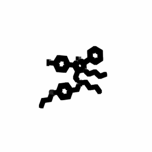 CCCCN(Cc1ccc(OCCC)cc1)Cc1c(-c2ccc(F)cc2)nc(-c2ccccc2)n1CCCC